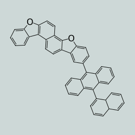 C1=CC2C=CC=C(c3c4ccccc4c(-c4ccc5oc6c(ccc7c6ccc6oc8ccccc8c67)c5c4)c4ccccc34)C2C=C1